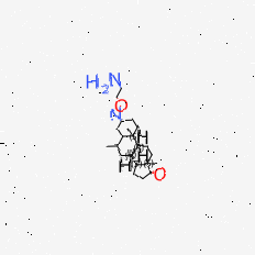 CC1C[C@@H]2[C@@H](CC[C@]3(C)C(=O)CC[C@@H]23)[C@@]2(C)CCC(=NOCCN)CC12